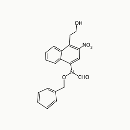 O=CN(OCc1ccccc1)c1cc([N+](=O)[O-])c(CCO)c2ccccc12